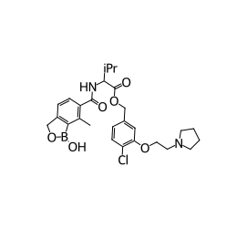 Cc1c(C(=O)NC(C(=O)OCc2ccc(Cl)c(OCCN3CCCC3)c2)C(C)C)ccc2c1B(O)OC2